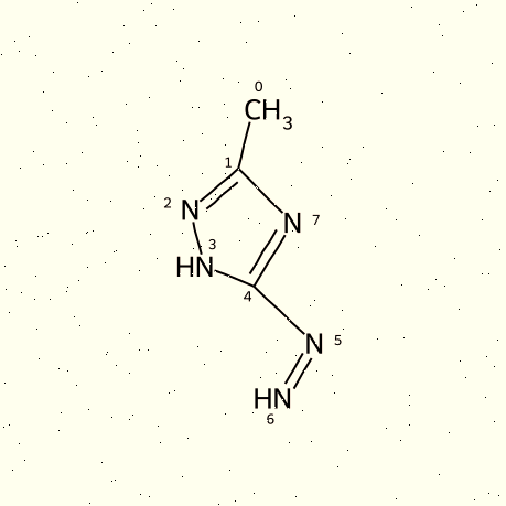 Cc1n[nH]c(N=N)n1